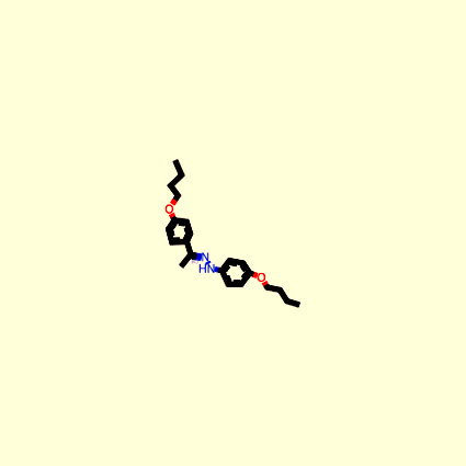 CCCCOc1ccc(N/N=C(\C)c2ccc(OCCCC)cc2)cc1